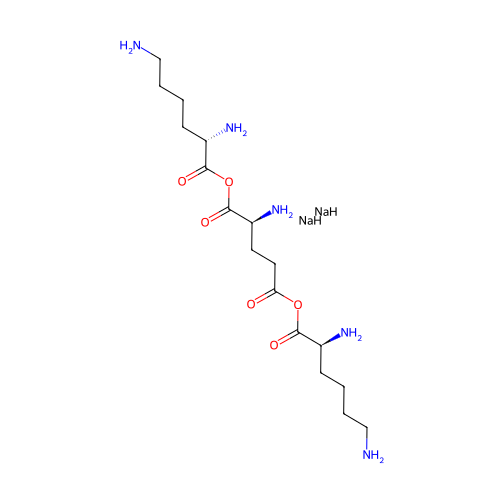 NCCCC[C@H](N)C(=O)OC(=O)CC[C@H](N)C(=O)OC(=O)[C@@H](N)CCCCN.[NaH].[NaH]